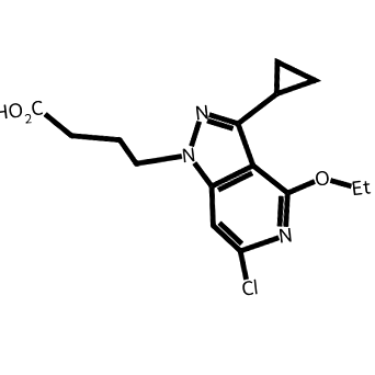 CCOc1nc(Cl)cc2c1c(C1CC1)nn2CCCC(=O)O